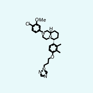 COc1cc(N2CCN3[C@@H](CCC[C@@H]3c3ccc(OCCCn4cncn4)c(C)c3C)C2)ccc1Cl